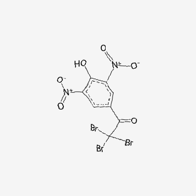 O=C(c1cc([N+](=O)[O-])c(O)c([N+](=O)[O-])c1)C(Br)(Br)Br